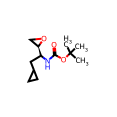 CC(C)(C)OC(=O)NC(CC1CC1)[C@H]1CO1